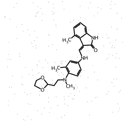 Cc1cc(NC=C2C(=O)Nc3cccc(C)c32)ccc1N(C)CCC1OCCO1